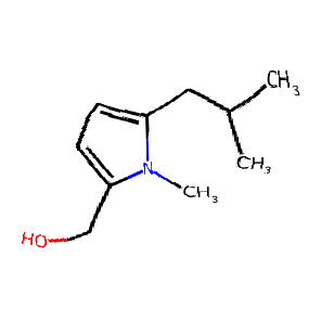 CC(C)Cc1ccc(CO)n1C